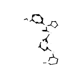 CCN1CCCC(Nc2cc(C)nc(NC(=N)N(c3cccc(OCF)c3)C3CCCC3)n2)C1